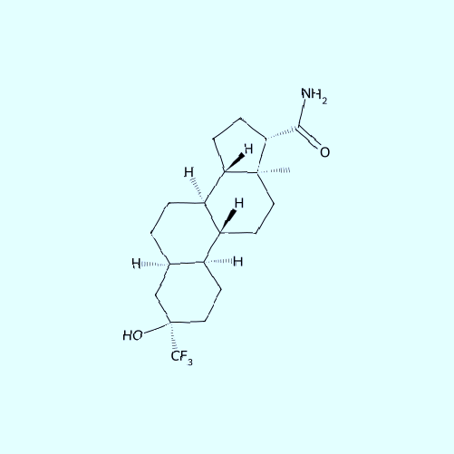 C[C@]12CC[C@H]3[C@@H](CC[C@@H]4C[C@@](O)(C(F)(F)F)CC[C@@H]43)[C@@H]1CC[C@@H]2C(N)=O